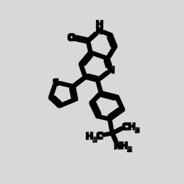 CC(C)(N)c1ccc(-c2nc3cc[nH]c(=O)c3cc2-c2cccs2)cc1